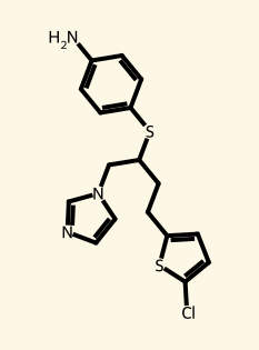 Nc1ccc(SC(CCc2ccc(Cl)s2)Cn2ccnc2)cc1